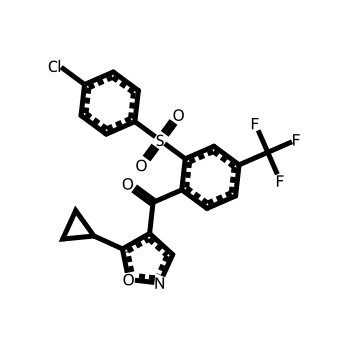 O=C(c1ccc(C(F)(F)F)cc1S(=O)(=O)c1ccc(Cl)cc1)c1cnoc1C1CC1